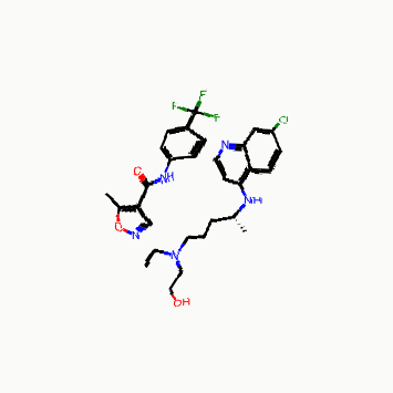 CCN(CCO)CCC[C@@H](C)Nc1ccnc2cc(Cl)ccc12.Cc1oncc1C(=O)Nc1ccc(C(F)(F)F)cc1